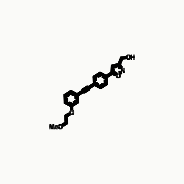 COCCOc1cccc(C#Cc2ccc(-c3cc(CO)no3)cc2)c1